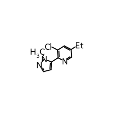 CCc1cnc(-c2ccnn2C)c(Cl)c1